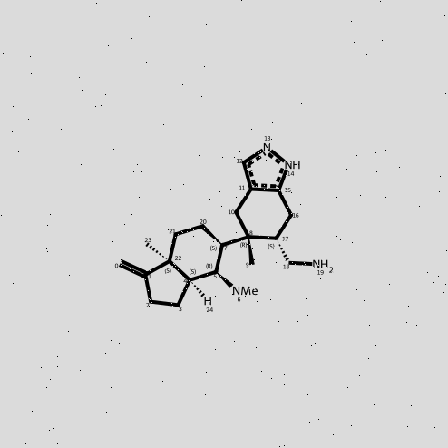 C=C1CC[C@@H]2[C@H](NC)[C@H]([C@]3(C)Cc4cn[nH]c4C[C@@H]3CN)CC[C@]12C